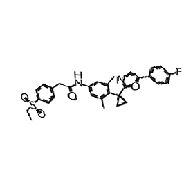 CCS(=O)(=O)c1ccc(CC(=O)Nc2cc(C)c(C3(c4ncc(-c5ccc(F)cc5)o4)CC3)c(C)c2)cc1